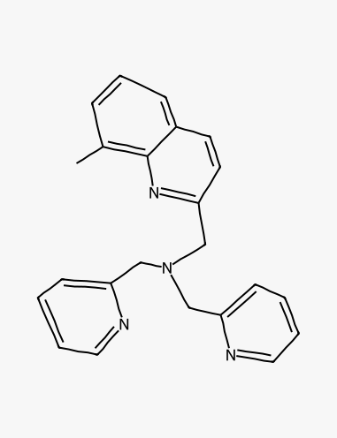 Cc1cccc2ccc(CN(Cc3ccccn3)Cc3ccccn3)nc12